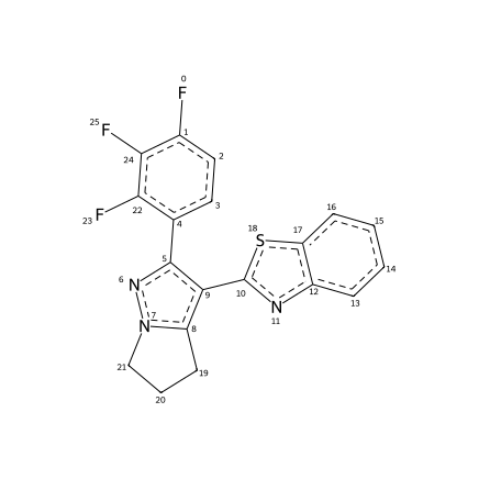 Fc1ccc(-c2nn3c(c2-c2nc4ccccc4s2)CCC3)c(F)c1F